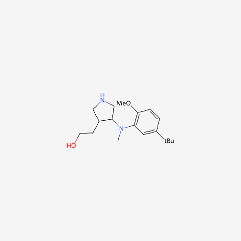 COc1ccc(C(C)(C)C)cc1N(C)C1CNCC1CCO